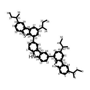 CCC(C)c1ccc2sc3c(-c4ccc5[nH]c6ccc(-c7cc(C(C)CC)cc8c7sc7ccc(C(C)CC)cc78)cc6c5c4)cc(C(C)CC)cc3c2c1